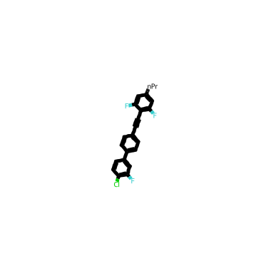 CCCc1cc(F)c(C#Cc2ccc(-c3ccc(Cl)c(F)c3)cc2)c(F)c1